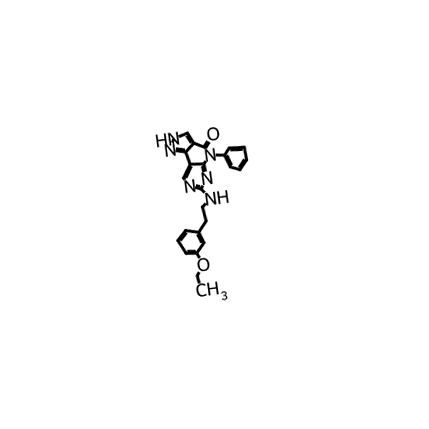 CCOc1cccc(CCNc2ncc3c4n[nH]cc4c(=O)n(-c4ccccc4)c3n2)c1